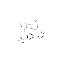 Cn1nnn(-c2cc(Nc3ncc(F)c(N[C@@H]4C[C@@H]5CCCN5C(C)(C)C4)n3)ccc2OC2CCOCC2)c1=O